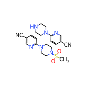 CS(=O)(=O)N1CCN(c2ccc(C#N)cn2)CC1.N#Cc1ccc(N2CCNCC2)nc1